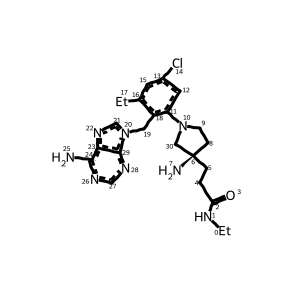 CCNC(=O)CC[C@@]1(N)CCN(c2cc(Cl)cc(CC)c2Cn2cnc3c(N)ncnc32)C1